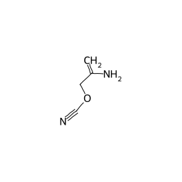 C=C(N)COC#N